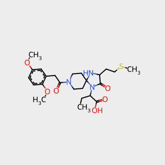 CCC(C(=O)O)N1C(=O)C(CCSC)NC12CCN(C(=O)Cc1cc(OC)ccc1OC)CC2